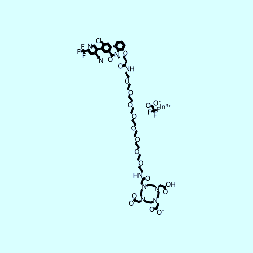 Cc1cccc(OCCC(=O)NCCOCCOCCOCCOCCOCCOCCOCCOCCNC(=O)CN2CCN(CC(=O)[O-])CCN(CC(=O)[O-])CCN(CC(=O)O)CC2)c1N(C)C(=O)c1ccc(Cl)c(-c2cnc(C(F)(F)F)cc2C#N)c1.O=C([O-])C(F)(F)F.[In+3]